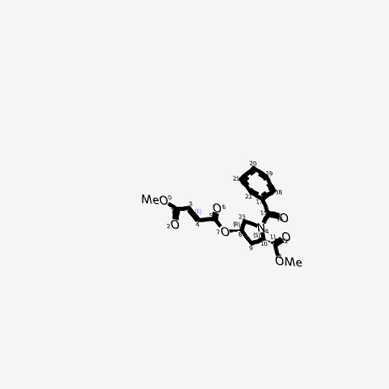 COC(=O)/C=C/C(=O)O[C@@H]1C[C@@H](C(=O)OC)N(C(=O)c2ccccc2)C1